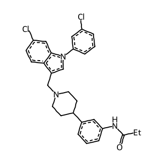 CCC(=O)Nc1cccc(C2CCN(Cc3cn(-c4cccc(Cl)c4)c4cc(Cl)ccc34)CC2)c1